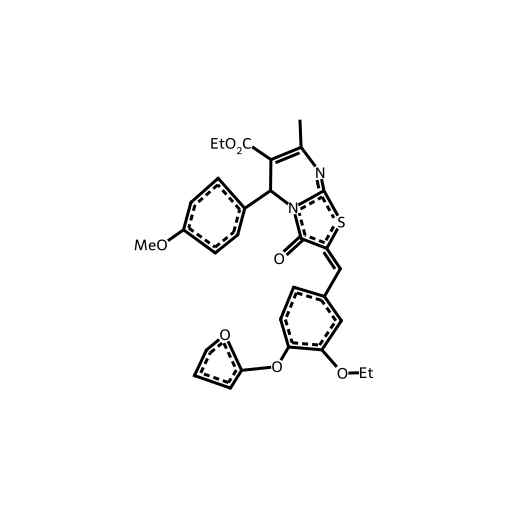 CCOC(=O)C1=C(C)N=c2sc(=Cc3ccc(Oc4ccco4)c(OCC)c3)c(=O)n2C1c1ccc(OC)cc1